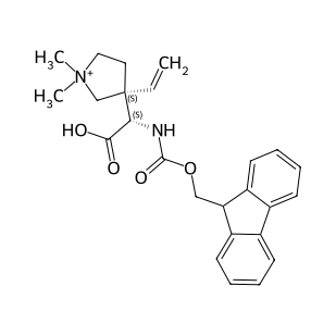 C=C[C@@]1([C@H](NC(=O)OCC2c3ccccc3-c3ccccc32)C(=O)O)CC[N+](C)(C)C1